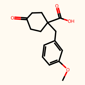 COc1cccc(CC2(C(=O)O)CCC(=O)CC2)c1